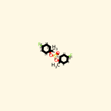 CC1(OS(=O)OC2(C)CCC(F)CC2)CCC(F)CC1